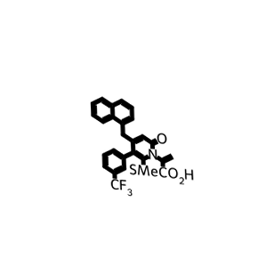 C=C(C(=O)O)n1c(SC)c(-c2cccc(C(F)(F)F)c2)c(Cc2cccc3ccccc23)cc1=O